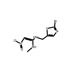 CNC(=C[N+](=O)[O-])NCc1cnc(Br)s1